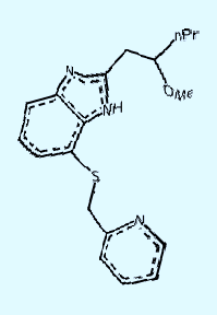 CCCC(Cc1nc2cccc(SCc3ccccn3)c2[nH]1)OC